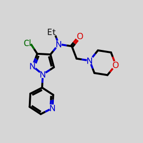 CCN(C(=O)CN1CCOCC1)c1cn(-c2cccnc2)nc1Cl